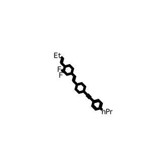 CC/C=C/C1CCC(/C=C/C2CCC(C#Cc3ccc(CCC)cc3)CC2)CC1(F)F